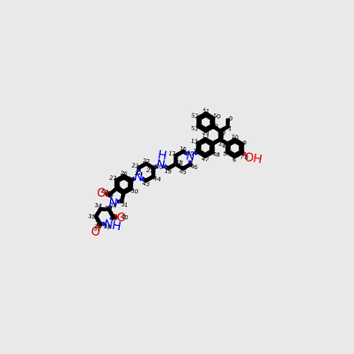 CCC(=C(c1ccc(O)cc1)c1ccc(N2CCC(CNC3CCN(c4ccc5c(c4)CN(C4CCC(=O)NC4=O)C5=O)CC3)CC2)cc1)c1ccccc1